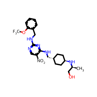 C[C@@H](CO)N[C@H]1CC[C@H](CNc2nc(NCc3ccccc3OC(F)(F)F)ncc2[N+](=O)[O-])CC1